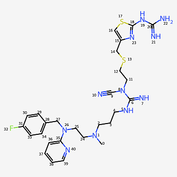 CN(CCCNC(=N)N(C#N)CCSCc1csc(NC(=N)N)n1)CCN(Cc1ccc(F)cc1)c1ccccn1